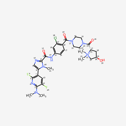 CN(C)c1nc(F)c(-c2cnc(C(=O)Nc3ccc(C(=O)N4CCN(C(=O)[C@@H]5C[C@@H](O)C[N+]5(C)C)CC4)c(Cl)c3)n2C)cc1F